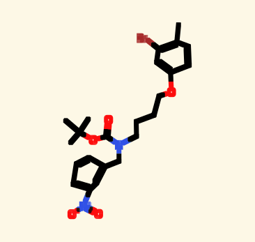 Cc1ccc(OCCCCN(Cc2cccc([N+](=O)[O-])c2)C(=O)OC(C)(C)C)cc1Br